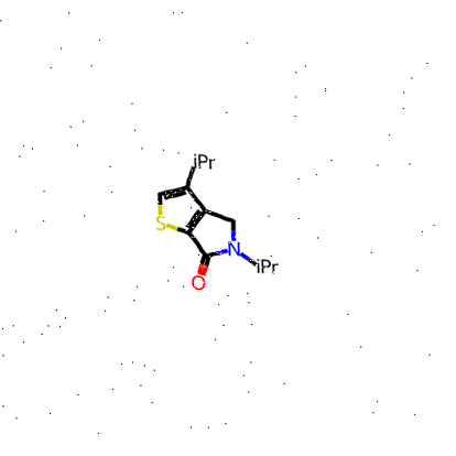 CC(C)c1csc2c1CN(C(C)C)C2=O